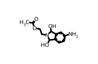 CC(=O)OCCN1C(O)c2ccc(N)cc2C1O